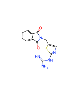 N=C(N)Nc1ncc(CN2C(=O)c3ccccc3C2=O)s1